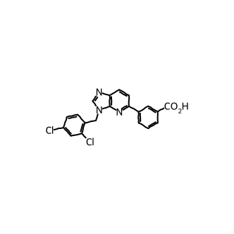 O=C(O)c1cccc(-c2ccc3ncn(Cc4ccc(Cl)cc4Cl)c3n2)c1